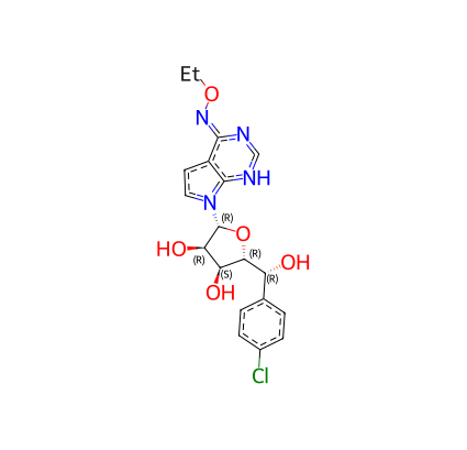 CCON=c1nc[nH]c2c1ccn2[C@@H]1O[C@H]([C@H](O)c2ccc(Cl)cc2)[C@@H](O)[C@H]1O